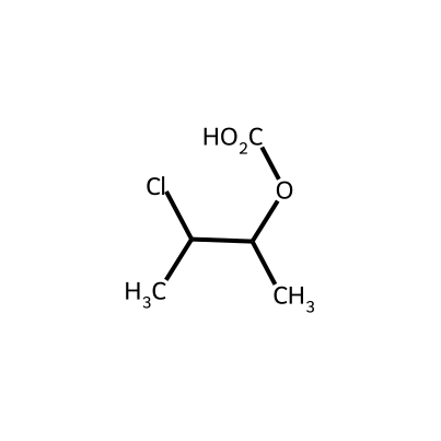 CC(Cl)C(C)OC(=O)O